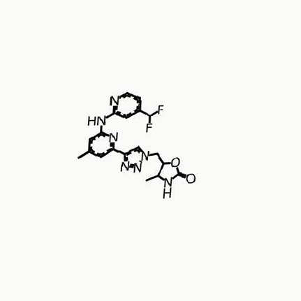 Cc1cc(Nc2cc(C(F)F)ccn2)nc(-c2cn(CC3OC(=O)NC3C)nn2)c1